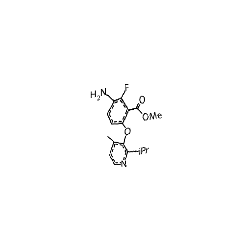 COC(=O)c1c(Oc2c(C)ccnc2C(C)C)ccc(N)c1F